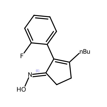 CCCCC1=C(c2ccccc2F)/C(=N/O)CC1